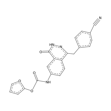 N#Cc1ccc(Cc2n[nH]c(=O)c3cc(NC(=O)Oc4ccco4)ccc23)cc1